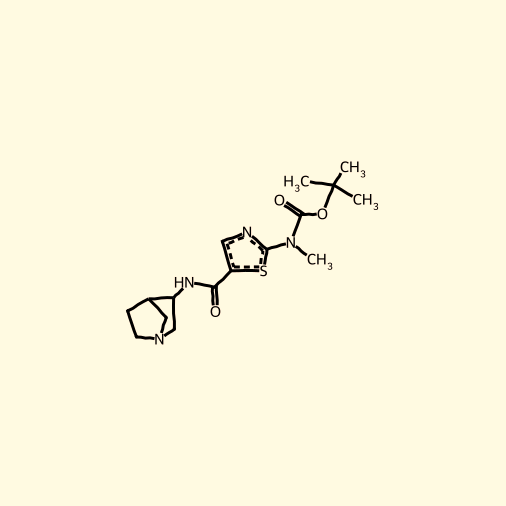 CN(C(=O)OC(C)(C)C)c1ncc(C(=O)NC2CN3CCC2C3)s1